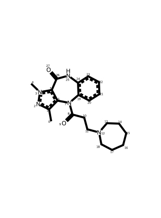 Cc1nn(C)c2c1N(C(=O)CCN1CCCCCC1)c1ccccc1NC2=O